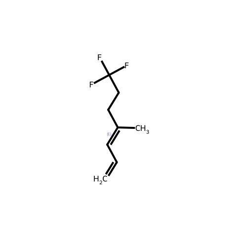 C=C/C=C(\C)CCC(F)(F)F